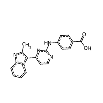 Cc1nc2ccccn2c1-c1ccnc(Nc2ccc(C(=O)O)cc2)n1